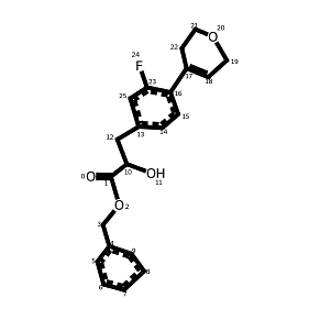 O=C(OCc1ccccc1)C(O)Cc1ccc(C2=CCOCC2)c(F)c1